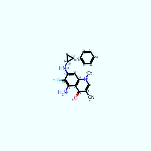 CCn1cc(C#N)c(=O)c2c(N)c(F)c(N[C@H]3C[C@@H]3c3ccccc3)cc21